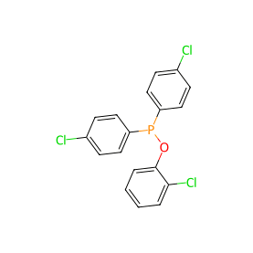 Clc1ccc(P(Oc2ccccc2Cl)c2ccc(Cl)cc2)cc1